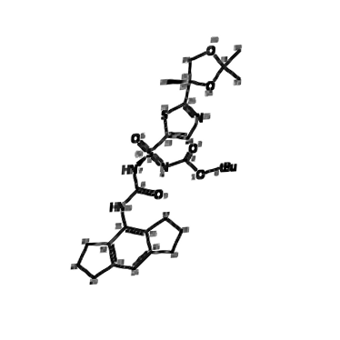 CC(C)(C)OC(=O)N=[S@@](=O)(NC(=O)Nc1c2c(cc3c1CCC3)CCC2)c1cnc([C@]2(C)COC(C)(C)O2)s1